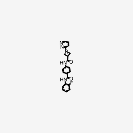 O=C(Nc1ccccc1F)c1ccc(NC(=O)C2CN(c3cccnn3)C2)cc1